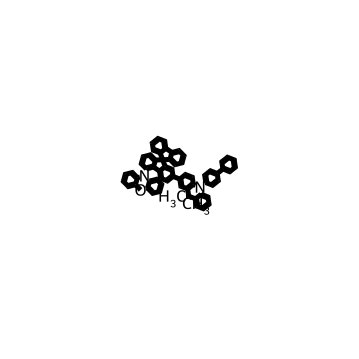 CC1(C)c2ccccc2N(c2ccc(-c3ccccc3)cc2)c2ccc(-c3ccc4c(c3)C3(c5ccccc5-c5ccccc53)c3cccc(N5c6ccccc6Oc6ccccc65)c3-4)cc21